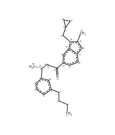 CCCCc1cccc([C@H](C)NC(=O)c2ccc3cc(C)n(CC4CC4)c3c2)c1